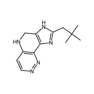 CC(C)(C)Cc1nc2c([nH]1)CNc1ccnnc1-2